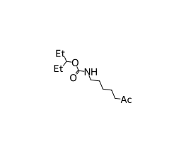 CCC(CC)OC(=O)NCCCCCC(C)=O